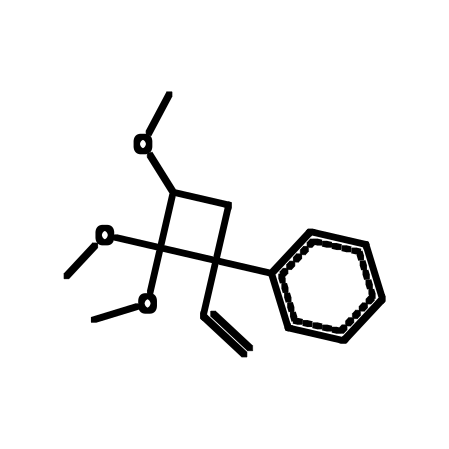 C=CC1(c2ccccc2)CC(OC)C1(OC)OC